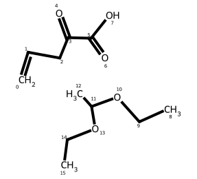 C=CCC(=O)C(=O)O.CCOC(C)OCC